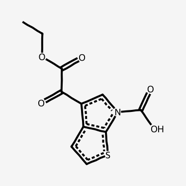 CCOC(=O)C(=O)c1cn(C(=O)O)c2sccc12